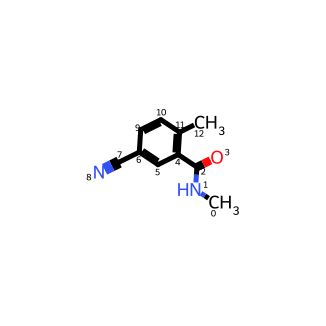 CNC(=O)c1cc(C#N)ccc1C